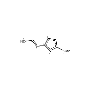 CSc1ccc(C=CC#N)s1